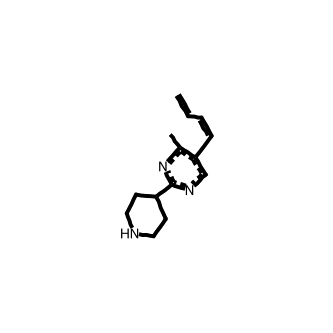 C=C/C=C\c1cnc(C2CCNCC2)nc1C